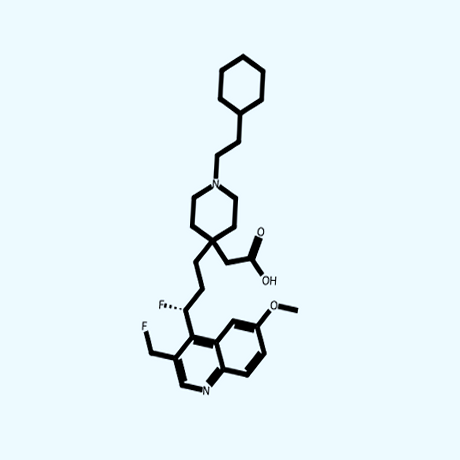 COc1ccc2ncc(CF)c([C@H](F)CCC3(CC(=O)O)CCN(CCC4CCCCC4)CC3)c2c1